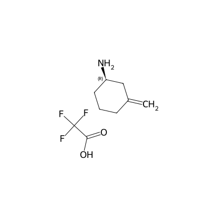 C=C1CCC[C@@H](N)C1.O=C(O)C(F)(F)F